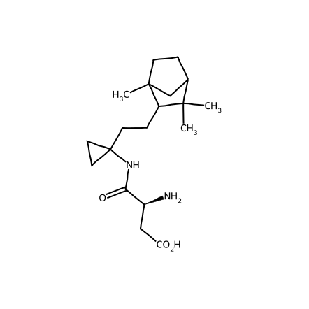 CC12CCC(C1)C(C)(C)C2CCC1(NC(=O)[C@@H](N)CC(=O)O)CC1